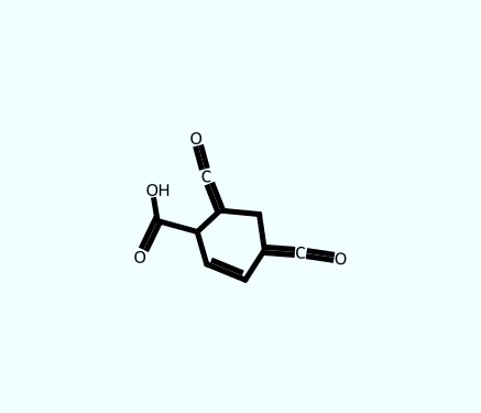 O=C=C1C=CC(C(=O)O)C(=C=O)C1